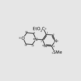 CCOC(=O)c1cnc(SC)nc1N1CCOCC1